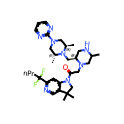 CCCC(F)(F)c1cc2c(cn1)C(C)(C)CN2C(=O)CN1CC(C)NC[C@@H]1CN1[C@H](C)CN(c2ncccn2)C[C@H]1C